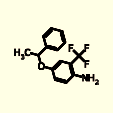 CC(Oc1ccc(N)c(C(F)(F)F)c1)c1ccccc1